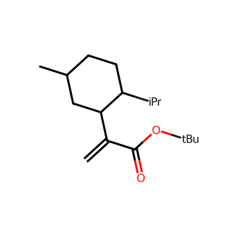 C=C(C(=O)OC(C)(C)C)C1CC(C)CCC1C(C)C